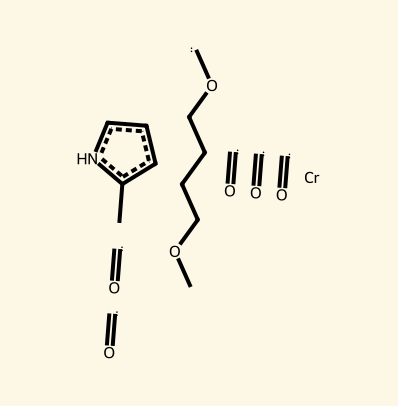 Cc1ccc[nH]1.[CH]OCCCCOC.[C]=O.[C]=O.[C]=O.[C]=O.[C]=O.[Cr]